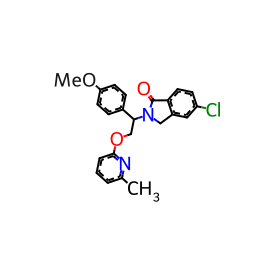 COc1ccc(C(COc2cccc(C)n2)N2Cc3cc(Cl)ccc3C2=O)cc1